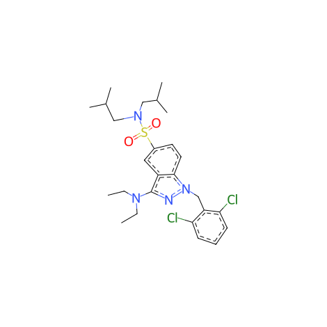 CCN(CC)c1nn(Cc2c(Cl)cccc2Cl)c2ccc(S(=O)(=O)N(CC(C)C)CC(C)C)cc12